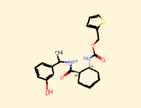 N#CC(NC(=O)[C@@H]1CCCC[C@H]1NC(=O)OCc1cccs1)c1cccc(O)c1